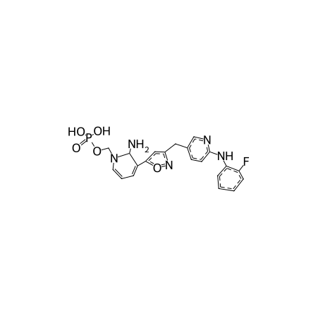 NC1C(c2cc(Cc3ccc(Nc4ccccc4F)nc3)no2)=CC=CN1COP(=O)(O)O